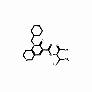 CC(C)[C@H](NC(=O)c1cc2c(n(CC3CCCCC3)c1=O)CCSC2)C(=O)O